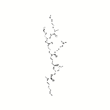 CCCCCCC(C)C(=O)OCC(COC)OC(=O)CCCN(CCCC(=O)OC(COC=O)COC(=O)C(C)CCCCCC)C(=O)CCCCN(C)C